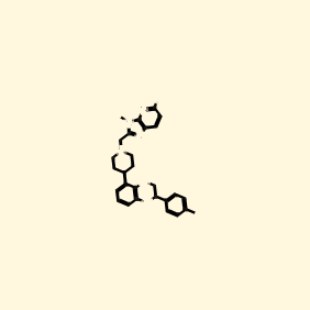 Cc1ccc(C2COc3c(cccc3C3CCN(Cc4nc5ccc(C(=O)O)nc5n4C)CC3)O2)cc1